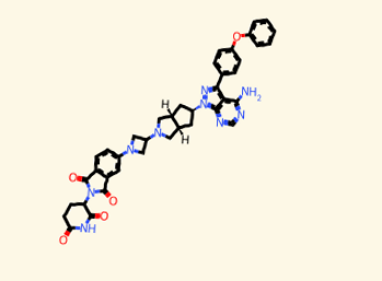 Nc1ncnc2c1c(-c1ccc(Oc3ccccc3)cc1)nn2[C@H]1C[C@@H]2CN(C3CN(c4ccc5c(c4)C(=O)N(C4CCC(=O)NC4=O)C5=O)C3)C[C@@H]2C1